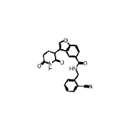 N#Cc1ccccc1CNC(=O)c1ccc2occ(C3CCC(=O)NC3=O)c2c1